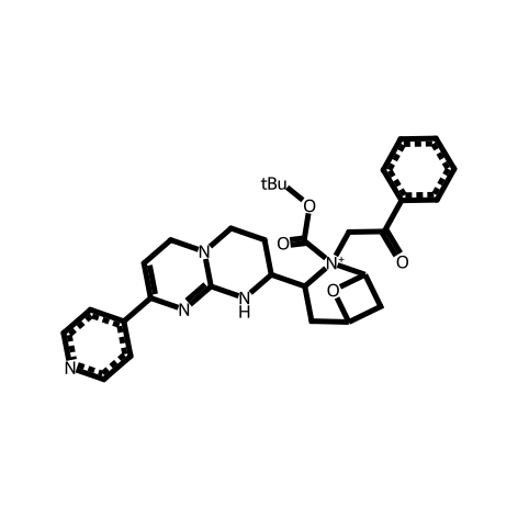 CC(C)(C)OC(=O)[N+]1(CC(=O)c2ccccc2)C2CC(CC1C1CCN3CC=C(c4ccncc4)N=C3N1)O2